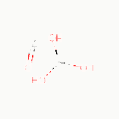 OB(O)O.[O]=[Zr]